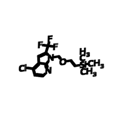 C[Si](C)(C)CCOCn1c(C(F)(F)F)cc2c(Cl)ccnc21